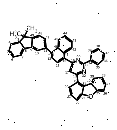 CC1(C)c2ccccc2-c2cc(-c3ccc(-c4cc(-c5cccc6oc7ccccc7c56)nc(-c5ccccc5)n4)c4ccccc34)ccc21